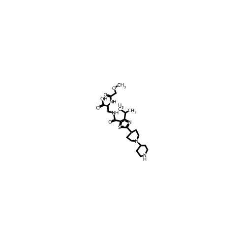 COCC(=O)NC(CNC(=O)c1sc(C2CCN(C3CCNCC3)CC2)nc1C(C)C)C(=O)O